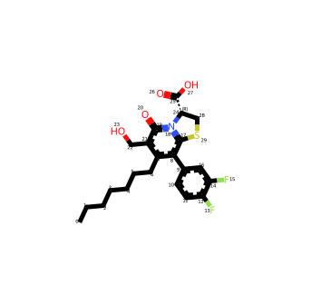 CCCCCCCc1c(-c2ccc(F)c(F)c2)c2n(c(=O)c1CO)[C@H](C(=O)O)CS2